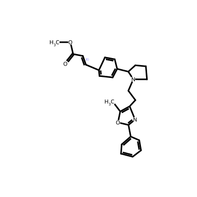 COC(=O)/C=C/c1ccc(C2CCCN2CCc2nc(-c3ccccc3)oc2C)cc1